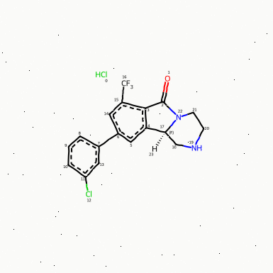 Cl.O=C1c2c(cc(-c3cccc(Cl)c3)cc2C(F)(F)F)[C@@H]2CNCCN12